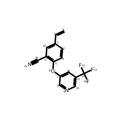 C=Cc1ccc(Oc2cncc(C(F)(F)F)c2)c(C#N)c1